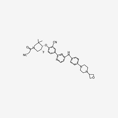 CC1(C)CN(C(=O)CC#N)C[C@@H](F)[C@H]1Oc1ccc(-c2nccc(Nc3ccc(N4CCN(C5COC5)CC4)cc3)n2)cc1C#N